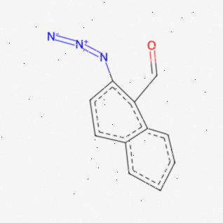 [N-]=[N+]=Nc1ccc2ccccc2c1C=O